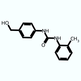 Cc1ccccc1NC(=O)Nc1ccc(CO)cc1